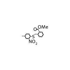 COC(=O)c1ccccc1CSc1ccc(C)cc1[N+](=O)[O-]